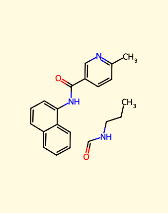 CCCNC=O.Cc1ccc(C(=O)Nc2cccc3ccccc23)cn1